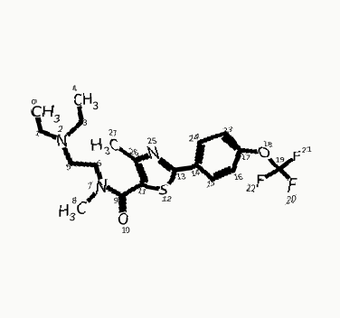 CCN(CC)CCN(C)C(=O)c1sc(-c2ccc(OC(F)(F)F)cc2)nc1C